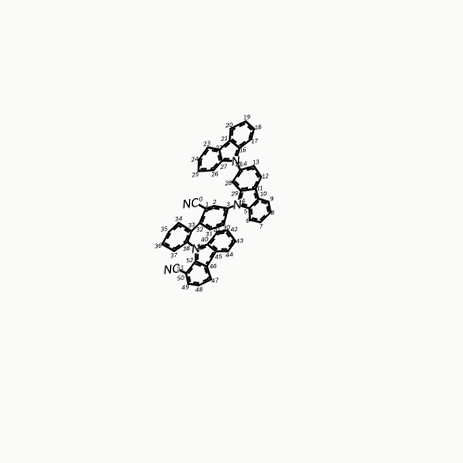 N#Cc1cc(-n2c3ccccc3c3ccc(-n4c5ccccc5c5ccccc54)cc32)ccc1-c1ccccc1-n1c2ccccc2c2cccc(C#N)c21